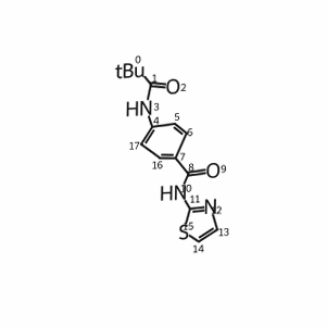 CC(C)(C)C(=O)Nc1ccc(C(=O)Nc2nccs2)cc1